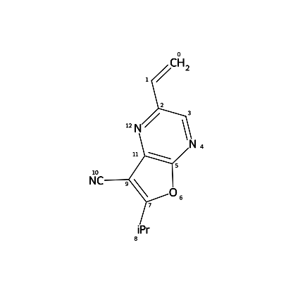 C=Cc1cnc2oc(C(C)C)c(C#N)c2n1